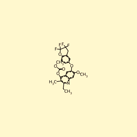 CCc1nc2cc(OC)c(Oc3ccc4c(c3)CC(F)(F)C(F)(F)O4)cc2c(OC(=O)OC)c1C